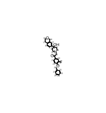 O=C(CN1CCC(O)(c2ccc3c(c2)COCC3)CC1)c1ccc(OCc2ccccc2)c(F)c1